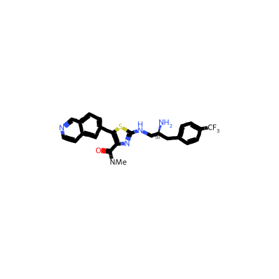 CNC(=O)c1nc(NC[C@@H](N)Cc2ccc(C(F)(F)F)cc2)sc1-c1ccc2cnccc2c1